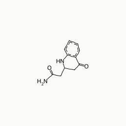 NC(=O)CC1CC(=O)c2ccccc2N1